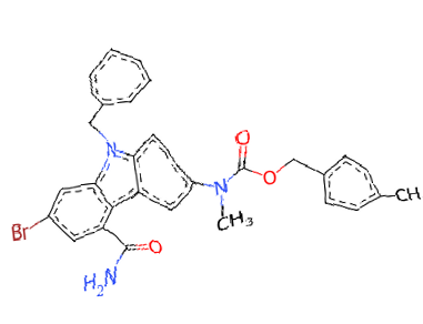 Cc1ccc(COC(=O)N(C)c2ccc3c(c2)c2c(C(N)=O)cc(Br)cc2n3Cc2ccccc2)cc1